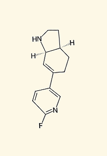 Fc1ccc(C2=C[C@H]3NCC[C@H]3CC2)cn1